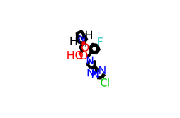 O=C(c1ccc(F)cc1O[C@H]1C[C@H]2CC[C@@H](C1)N2CCCO)N1Cc2nn3cc(Cl)cnc3c2C1